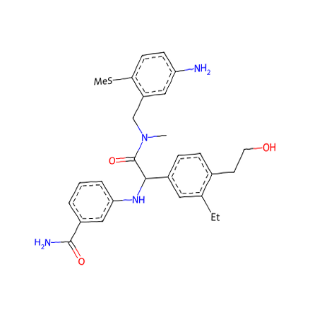 CCc1cc(C(Nc2cccc(C(N)=O)c2)C(=O)N(C)Cc2cc(N)ccc2SC)ccc1CCO